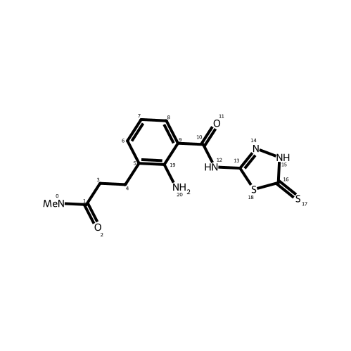 CNC(=O)CCc1cccc(C(=O)Nc2n[nH]c(=S)s2)c1N